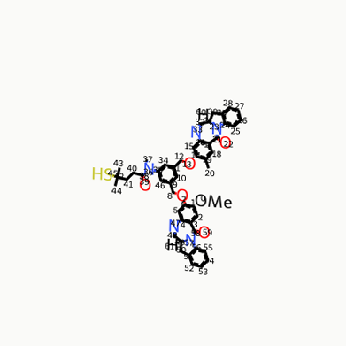 COc1cc2c(cc1OCc1cc(COc3cc4c(cc3C)C(=O)N3c5ccccc5C[C@H]3C=N4)cc(N(C)C(=O)CCC(C)(C)S)c1)N=C[C@@H]1Cc3ccccc3N1C2=O